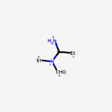 [CH2]CN(C=O)C(N)CC